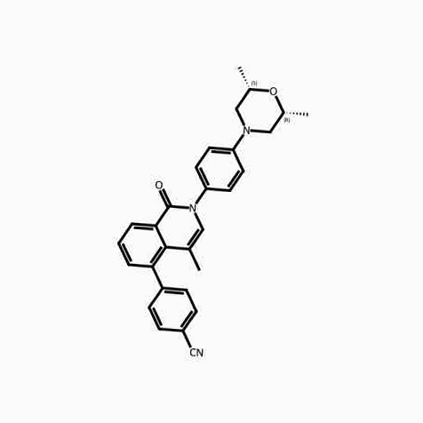 Cc1cn(-c2ccc(N3C[C@@H](C)O[C@@H](C)C3)cc2)c(=O)c2cccc(-c3ccc(C#N)cc3)c12